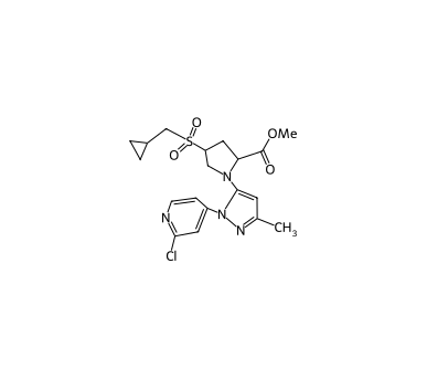 COC(=O)C1CC(S(=O)(=O)CC2CC2)CN1c1cc(C)nn1-c1ccnc(Cl)c1